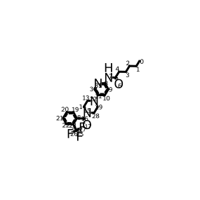 CCCCCC(=O)Nc1ccc(N2CCN(C(=O)c3ccccc3C(F)(F)F)CC2)cn1